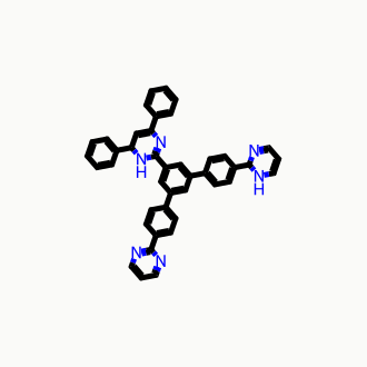 C1=CNC(c2ccc(-c3cc(C4=NC(c5ccccc5)=CC(c5ccccc5)N4)cc(-c4ccc(-c5ncccn5)cc4)c3)cc2)N=C1